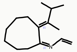 C=C/N=C1/CCCCCC/C1=C(/C)C(C)C